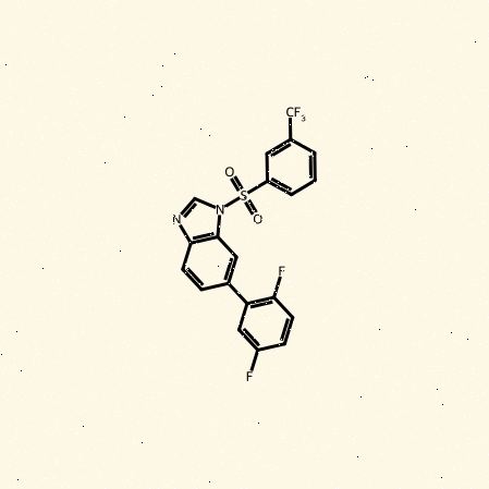 O=S(=O)(c1cccc(C(F)(F)F)c1)n1cnc2ccc(-c3cc(F)ccc3F)cc21